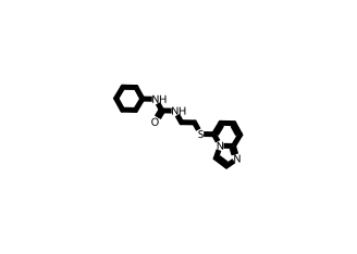 O=C(NCCSc1cccc2nccn12)NC1CCCCC1